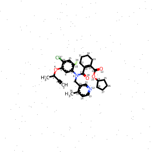 C#CC(C)Oc1cc(N(Cc2cnccc2C)C(=O)C2=C(C(=O)OC3CCCC3)CCCC2)c(F)cc1Cl